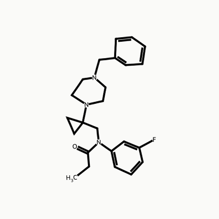 CCC(=O)N(CC1(N2CCN(Cc3ccccc3)CC2)CC1)c1cccc(F)c1